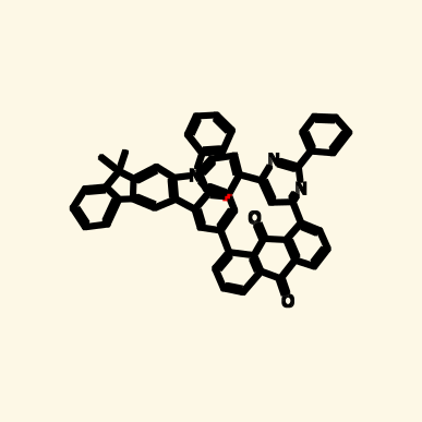 CC1(C)c2ccccc2-c2cc3c4cc(-c5cccc6c5C(=O)c5c(cccc5-c5cc(-c7ccccc7)nc(-c7ccccc7)n5)C6=O)ccc4n(-c4ccccc4)c3cc21